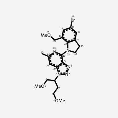 COCCC(COC)n1nnc2c(N3CCc4cc(Br)cc(COC)c43)nc(C)cc21